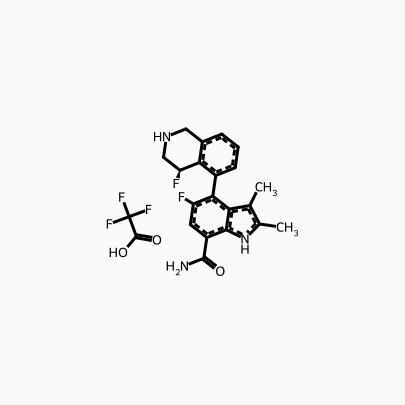 Cc1[nH]c2c(C(N)=O)cc(F)c(-c3cccc4c3[C@@H](F)CNC4)c2c1C.O=C(O)C(F)(F)F